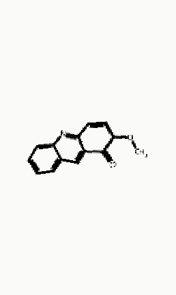 COC1C=Cc2nc3ccccc3cc2C1=O